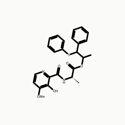 COc1ccnc(C(=O)N[C@@H](C)C(=O)OC(C)C(Sc2ccccc2)c2ccccc2)c1O